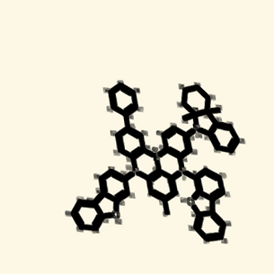 Cc1cc2c3c(c1)N(c1cccc4c1oc1ccccc14)c1cc(N4c5ccccc5C5(C)CCCCC45C)ccc1B3c1cc(-c3ccccc3)ccc1N2c1ccc2c(c1)oc1ccccc12